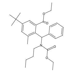 CCCCN(C(=O)OCC)C(c1ccccc1)c1c(C)cc(C(C)(C)C)cc1C(=O)OCC